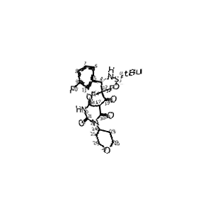 CC(C)(C)[S+]([O-])N[C@@H](c1cccc(F)c1)C(F)(F)C(=O)C1C(=O)NC(=O)N(C2CCOCC2)C1=O